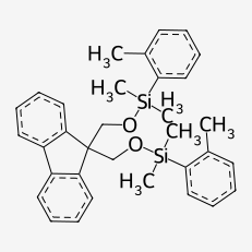 Cc1ccccc1[Si](C)(C)OCC1(CO[Si](C)(C)c2ccccc2C)c2ccccc2-c2ccccc21